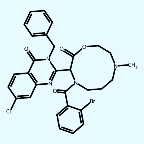 CN1CCCN(C(=O)c2ccccc2Br)C(c2nc3cc(Cl)ccc3c(=O)n2Cc2ccccc2)C(=O)OCC1